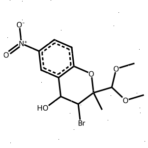 COC(OC)C1(C)Oc2ccc([N+](=O)[O-])cc2C(O)C1Br